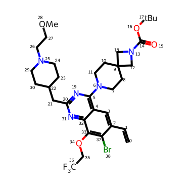 C=Cc1cc2c(N3CCC4(CC3)CN(C(=O)OC(C)(C)C)C4)nc(CC3CCN(CCOC)CC3)nc2c(OCC(F)(F)F)c1Br